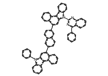 c1ccc(-c2nc(-n3c4ccccc4c4c5ccccc5c(-c5ccc6cc(-c7cc8c(c9ccccc79)c7ccccc7n8-c7ccccc7)ccc6c5)cc43)nc3ccccc23)cc1